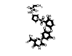 CCS(=O)(=O)N[C@H]1CCN(S(=O)(=O)c2cc(Oc3c(Cl)cc(-n4nc(C(F)F)c(=O)[nH]c4=O)cc3Cl)ccc2O)C1